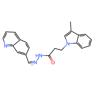 Cc1cn(CCC(=O)N/N=C\c2ccc3cccnc3c2)c2ccccc12